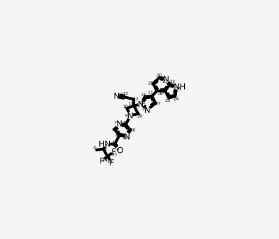 CC(NC(=O)c1cnc(N2CC(CC#N)(n3cc(-c4ccnc5[nH]ccc45)cn3)C2)cn1)C(F)(F)F